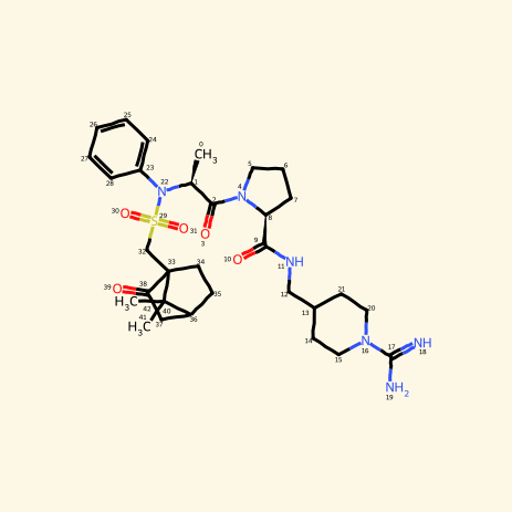 C[C@@H](C(=O)N1CCC[C@H]1C(=O)NCC1CCN(C(=N)N)CC1)N(c1ccccc1)S(=O)(=O)CC12CCC(CC1=O)C2(C)C